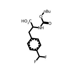 CCCCOC(=O)NC(Cc1ccc(C(F)F)cc1)C(=O)O